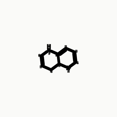 C1=C[N]C2CC=CNC2=C1